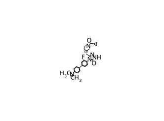 CN(C)c1ccc(-c2ccc(-n3c(C[C@@H]4CCN(C(=O)C5CC5)C4)n[nH]c3=O)c(F)c2)cc1